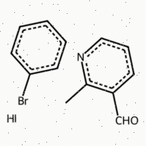 Brc1ccccc1.Cc1ncccc1C=O.I